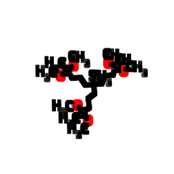 CO[Si](C)(CCCC([SiH3])(CCC[Si](C)(OC)OC)CCC[Si](C)(OC)OC)OC